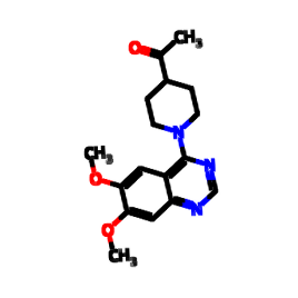 COc1cc2ncnc(N3CCC(C(C)=O)CC3)c2cc1OC